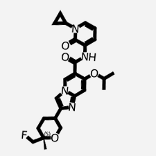 CC(C)Oc1cc2nc(C3CC[C@@](C)(CF)OC3)cn2cc1C(=O)Nc1cccn(C2CC2)c1=O